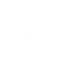 c1ccc(-c2ccc(N(c3ccc4c(c3)oc3ccccc34)c3cc4ccc5ccccc5c4c4ccccc34)cc2-c2ccccc2)cc1